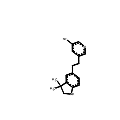 CC1(C)CNc2ccc(CCc3cncc(C#N)c3)cc21